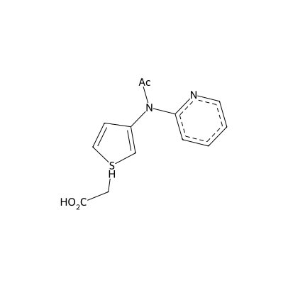 CC(=O)N(C1=C[SH](CC(=O)O)C=C1)c1ccccn1